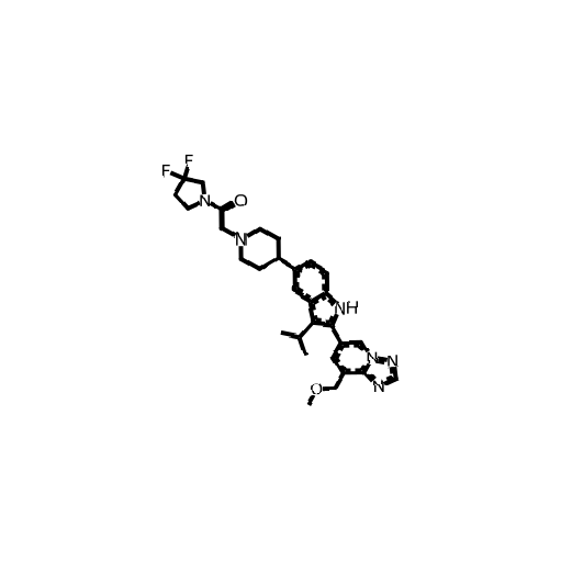 COCc1cc(-c2[nH]c3ccc(C4CCN(CC(=O)N5CCC(F)(F)C5)CC4)cc3c2C(C)C)cn2ncnc12